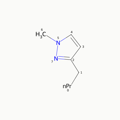 CCCCc1ccn(C)n1